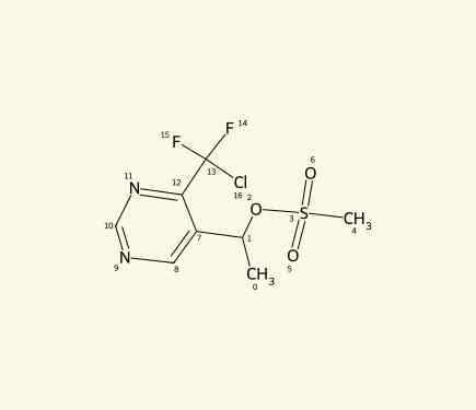 CC(OS(C)(=O)=O)c1cncnc1C(F)(F)Cl